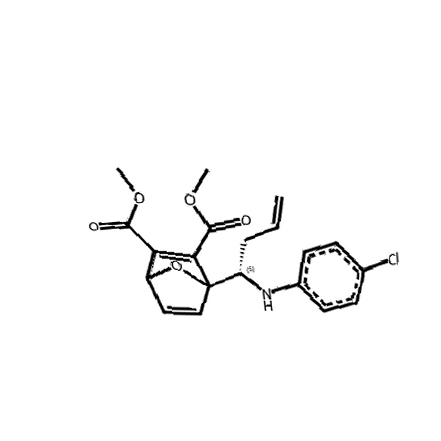 C=CC[C@H](Nc1ccc(Cl)cc1)C12C=CC(O1)C(C(=O)OC)=C2C(=O)OC